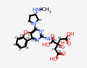 CN[C@@H]1CCN(c2nc(N)nc3c2oc2ccccc23)C1.O=C(O)CC(O)(CC(=O)O)C(=O)O